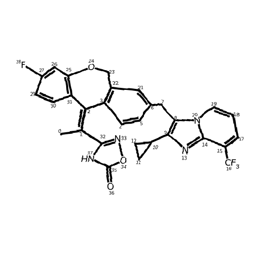 CC(=C1c2ccc(Cc3c(C4CC4)nc4c(C(F)(F)F)cccn34)cc2COc2cc(F)ccc21)c1noc(=O)[nH]1